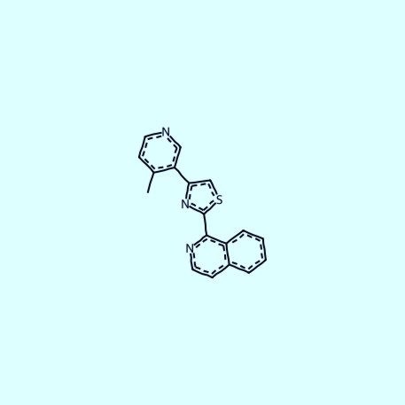 Cc1ccncc1-c1csc(-c2nccc3ccccc23)n1